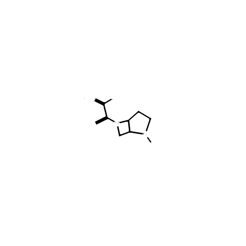 C=C(F)C(=O)N1CC2C1CCN2C